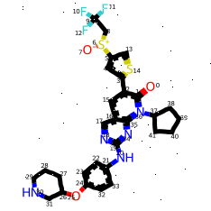 O=c1c(-c2cc([S+]([O-])CC(F)(F)F)cs2)cc2cnc(Nc3ccc(OC4CCCNC4)cc3)nc2n1C1CCCC1